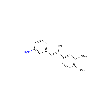 COc1ccc(C(C#N)=Cc2cccc(N)c2)cc1OC